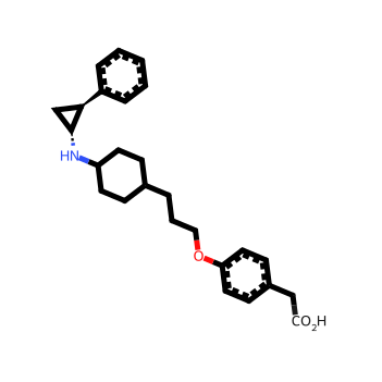 O=C(O)Cc1ccc(OCCCC2CCC(N[C@@H]3C[C@H]3c3ccccc3)CC2)cc1